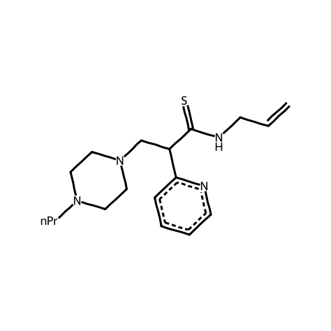 C=CCNC(=S)C(CN1CCN(CCC)CC1)c1ccccn1